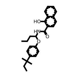 CCCC(NC(=O)c1ccc2ccccc2c1O)Oc1ccc(C(C)(C)CC)cc1